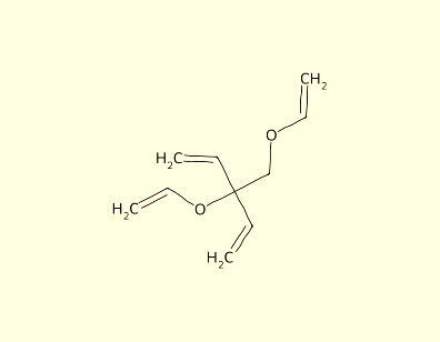 C=COCC(C=C)(C=C)OC=C